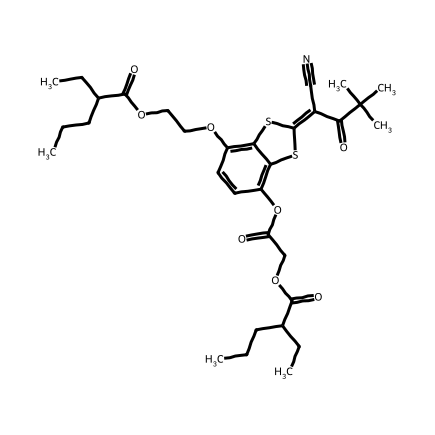 CCCC(CC)C(=O)OCCOc1ccc(OC(=O)COC(=O)C(CC)CCC)c2c1S/C(=C(\C#N)C(=O)C(C)(C)C)S2